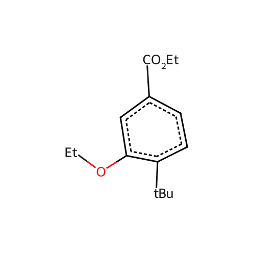 CCOC(=O)c1ccc(C(C)(C)C)c(OCC)c1